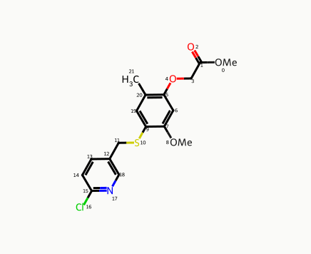 COC(=O)COc1cc(OC)c(SCc2ccc(Cl)nc2)cc1C